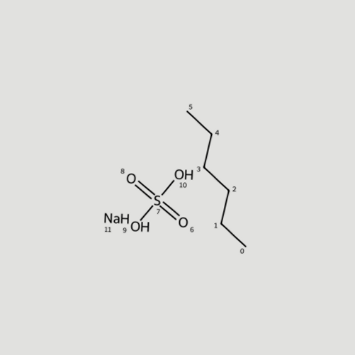 CCCCCC.O=S(=O)(O)O.[NaH]